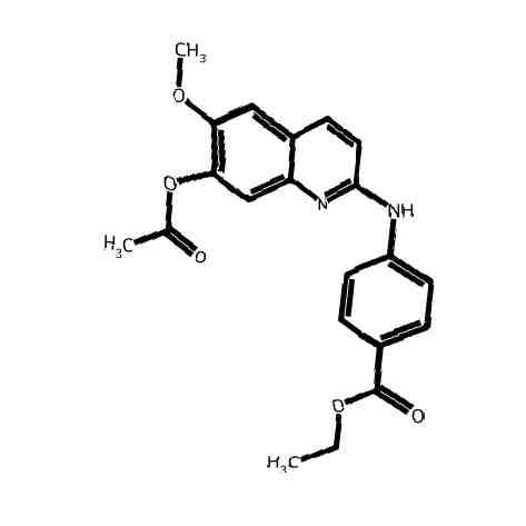 CCOC(=O)c1ccc(Nc2ccc3cc(OC)c(OC(C)=O)cc3n2)cc1